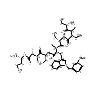 COc1cccc(Cn2cc(C[C@@H](C(=O)N[C@@H](CC(C)C)C(=O)N(C)[C@@H](C)C(=O)O[C@H](CCC#N)C(=O)O)N(C)C(=O)[C@H](CC(C)C)NC(=O)[C@H](CC(C)C)N(C)C(=O)[C@@H](N)CC(C)C)c3ccccc32)c1